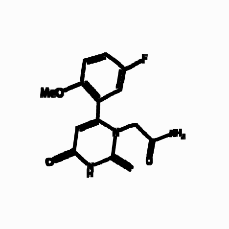 C=C1NC(=O)C=C(c2cc(F)ccc2OC)N1CC(N)=O